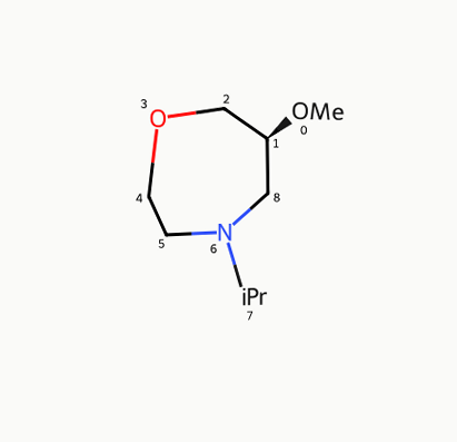 CO[C@@H]1COCCN(C(C)C)C1